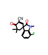 CN1C(=O)C2(C=C(C#N)C(=O)C(C)(C)C2)c2cccc(F)c21